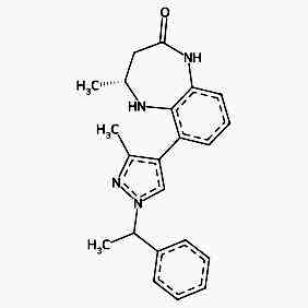 Cc1nn(C(C)c2ccccc2)cc1-c1cccc2c1N[C@H](C)CC(=O)N2